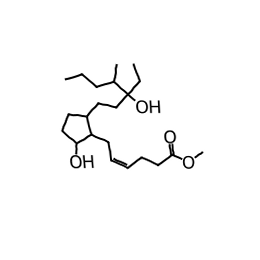 CCCC(C)C(O)(CC)CCC1CCC(O)C1C/C=C\CCC(=O)OC